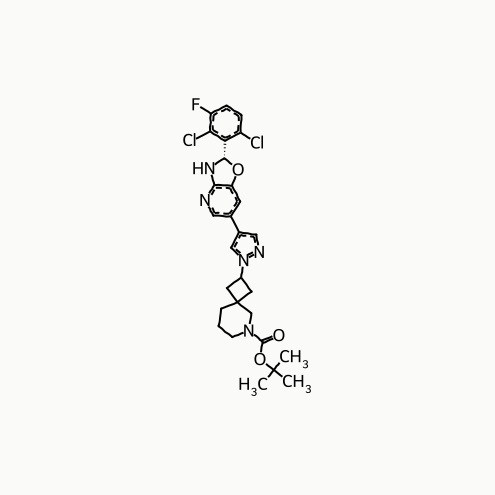 CC(C)(C)OC(=O)N1CCCC2(CC(n3cc(-c4cnc5c(c4)O[C@@H](c4c(Cl)ccc(F)c4Cl)N5)cn3)C2)C1